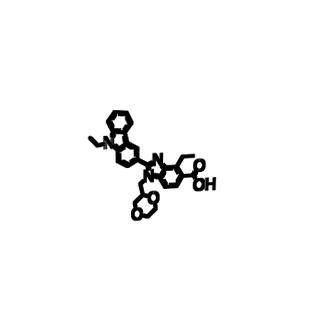 CCc1c(C(=O)O)ccc2c1nc(-c1ccc3c(c1)c1ccccc1n3CC)n2CC1COCCO1